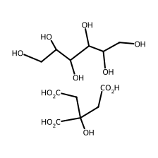 O=C(O)CC(O)(CC(=O)O)C(=O)O.OCC(O)C(O)C(O)C(O)CO